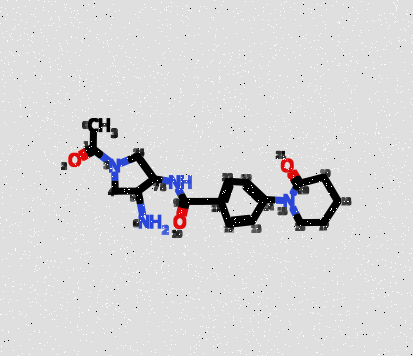 CC(=O)N1CC(N)C(NC(=O)c2ccc(N3CCCCC3=O)cc2)C1